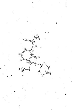 CCn1c(N2CCNCC2)nc2c(OC(N)=O)cccc21